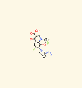 COc1c(N2CC3CCC3(N)C2)c(F)cc2c(=O)c(C(=O)O)cn([C@@H]3C[C@H]3F)c12